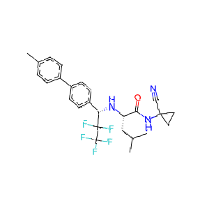 Cc1ccc(-c2ccc([C@H](N[C@@H](CC(C)C)C(=O)NC3(C#N)CC3)C(F)(F)C(F)(F)F)cc2)cc1